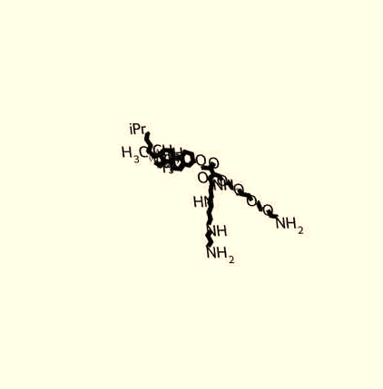 CC(C)CCC[C@@H](C)[C@H]1CC[C@H]2[C@@H]3CC=C4CC(OCC(=O)C(COCCOCCOCCOCCN)C(=O)C(N)CCNCCCCNCCCN)CC[C@]4(C)[C@H]3CC[C@]12C